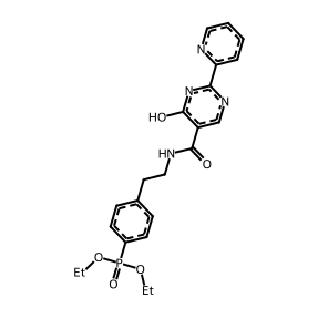 CCOP(=O)(OCC)c1ccc(CCNC(=O)c2cnc(-c3ccccn3)nc2O)cc1